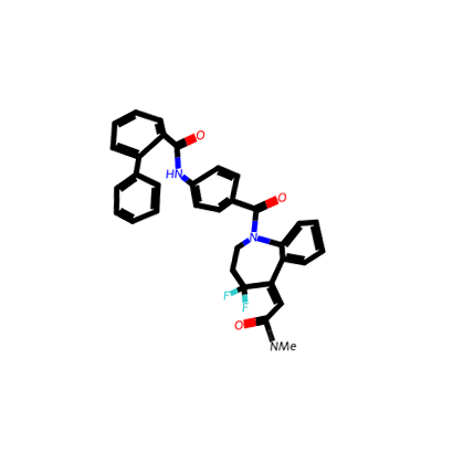 CNC(=O)/C=C1/c2ccccc2N(C(=O)c2ccc(NC(=O)c3ccccc3-c3ccccc3)cc2)CCC1(F)F